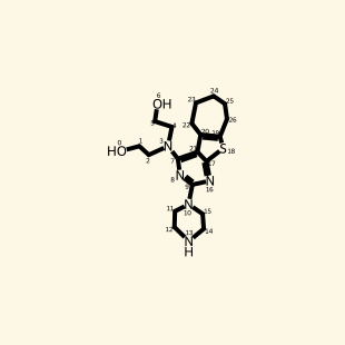 OCCN(CCO)c1nc(N2CCNCC2)nc2sc3c(c12)CCCCC3